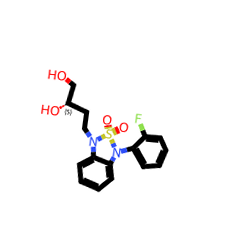 O=S1(=O)N(CC[C@H](O)CO)c2ccccc2N1c1ccccc1F